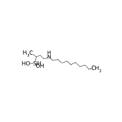 CCCCCCCCCCNCCC(C)[SiH](O)O